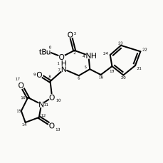 CC(C)(C)OC(=O)NC(CNC(=O)ON1C(=O)CCC1=O)Cc1ccccc1